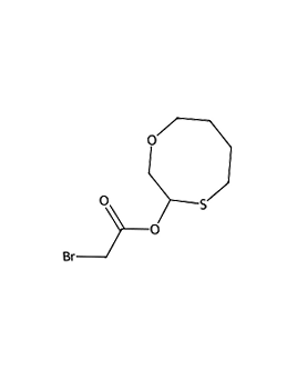 O=C(CBr)OC1COCCCCS1